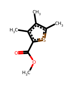 COC(=O)c1sc(C)c(C)c1C